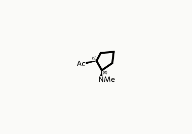 CN[C@@H]1CCC[C@@H]1C(C)=O